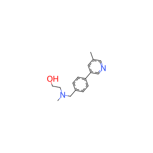 Cc1cncc(-c2ccc(CN(C)CCO)cc2)c1